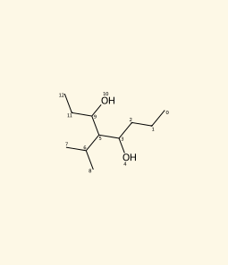 CCCC(O)C(C(C)C)C(O)CC